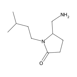 CC(C)CCN1C(=O)CCC1CN